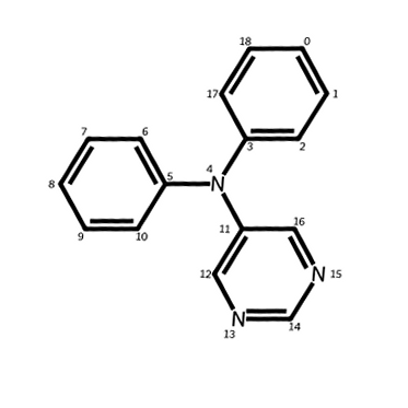 c1ccc(N(c2ccccc2)c2cncnc2)cc1